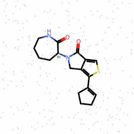 O=C1NCCCC[C@@H]1N1Cc2c(csc2C2=CCCC2)C1=O